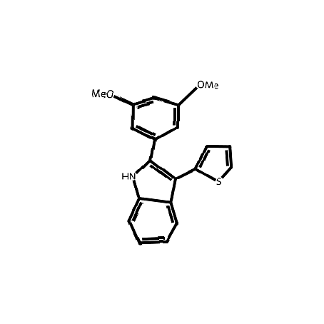 COc1cc(OC)cc(-c2[nH]c3ccccc3c2-c2cccs2)c1